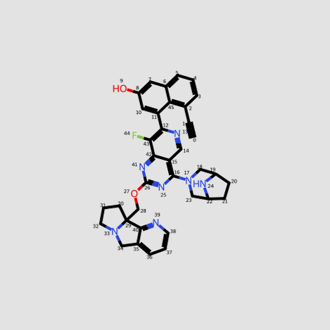 C#Cc1cccc2cc(O)cc(-c3ncc4c(N5CC6CCC(C5)N6)nc(OCC56CCCN5Cc5cccnc56)nc4c3F)c12